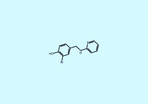 Oc1ccc(CNc2ccccn2)cc1Br